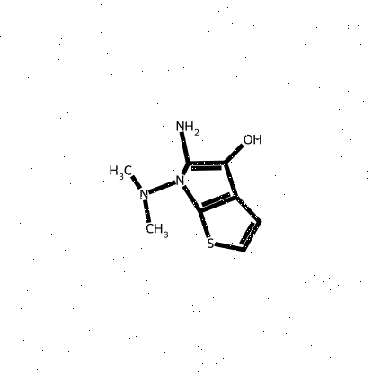 CN(C)n1c(N)c(O)c2ccsc21